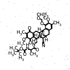 COCOc1c(OC)c(C)cc2c1[C@@H]1C3CC4=C(C(=O)C(OC)=C(C)C4=O)[C@H](CNC(=O)C(C)NC(=O)OC(C)(C)C)N3C(C#N)[C@H](C2)N1C